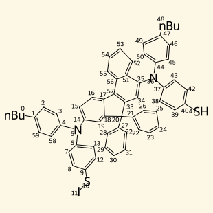 CCCCc1ccc(N(c2ccc(SI)cc2)c2ccc3c(c2)C(c2ccccc2)(c2ccccc2)c2cc(N(c4ccc(S)cc4)c4ccc(CCCC)cc4)c4ccccc4c2-3)cc1